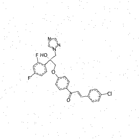 O=C(C=Cc1ccc(Cl)cc1)c1ccc(OC[C@](O)(Cn2cncn2)c2ccc(F)cc2F)cc1